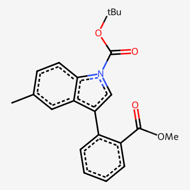 COC(=O)c1ccccc1-c1cn(C(=O)OC(C)(C)C)c2ccc(C)cc12